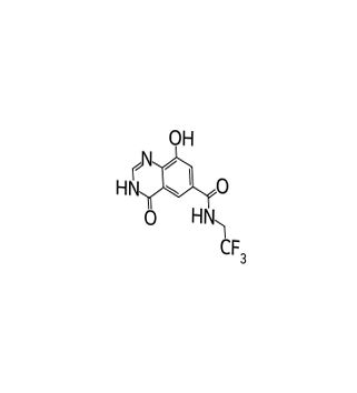 O=C(NCC(F)(F)F)c1cc(O)c2nc[nH]c(=O)c2c1